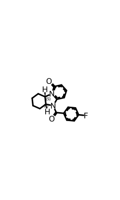 O=C(c1ccc(F)cc1)N1c2cccc(=O)n2[C@H]2CCCC[C@H]21